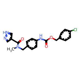 CN(Cc1ccc(NC(=O)OCc2ccc(Cl)cc2)cc1)C(=O)c1cn[nH]c1